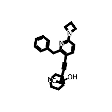 O[C@]1(C#Cc2ccc(N3CCC3)nc2Cc2ccccc2)CN2CCC1CC2